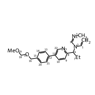 C=CN(/C=N\C)C(CC)c1ccc(-c2ccc(COCOC)cc2)cn1